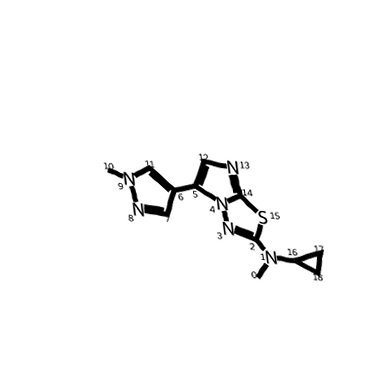 CN(c1nn2c(-c3cnn(C)c3)cnc2s1)C1CC1